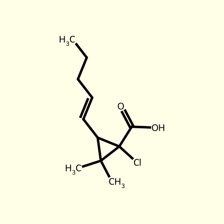 CCCC=CC1C(C)(C)C1(Cl)C(=O)O